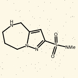 CNS(=O)(=O)c1cc2n(n1)CCCNC2